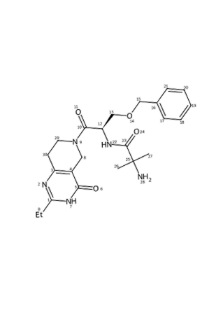 CCc1nc2c(c(=O)[nH]1)CN(C(=O)[C@@H](COCc1ccccc1)NC(=O)C(C)(C)N)CC2